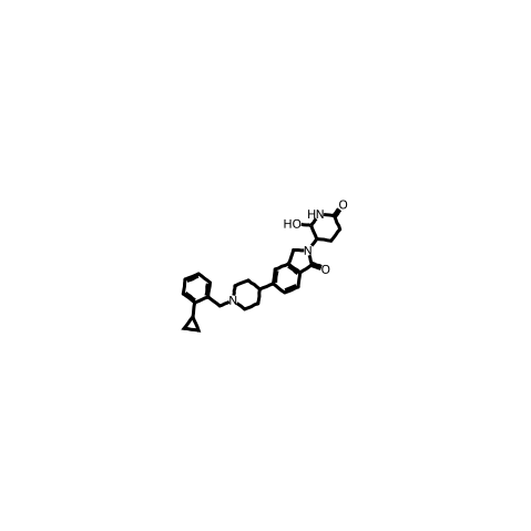 O=C1CCC(N2Cc3cc(C4CCN(Cc5ccccc5C5CC5)CC4)ccc3C2=O)C(O)N1